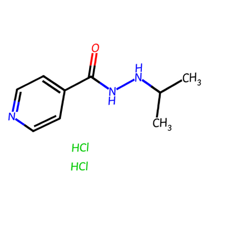 CC(C)NNC(=O)c1ccncc1.Cl.Cl